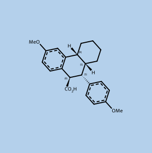 COc1ccc([C@H]2[C@H]3CCCC[C@H]3c3cc(OC)ccc3[C@@H]2C(=O)O)cc1